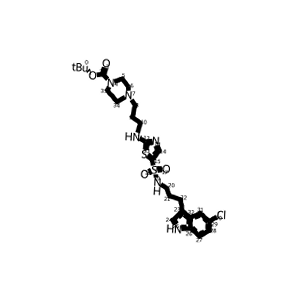 CC(C)(C)OC(=O)N1CCN(CCCNc2ncc(S(=O)(=O)NCCCc3c[nH]c4ccc(Cl)cc34)s2)CC1